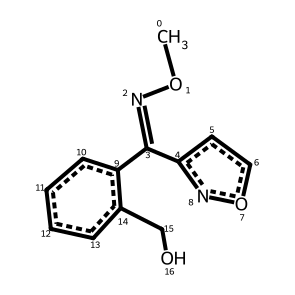 CON=C(c1ccon1)c1ccccc1CO